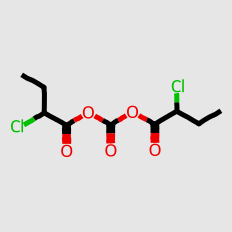 CCC(Cl)C(=O)OC(=O)OC(=O)C(Cl)CC